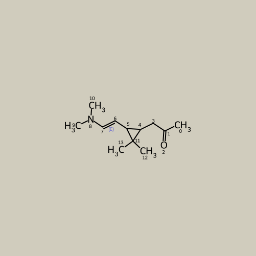 CC(=O)CC1C(/C=C/N(C)C)C1(C)C